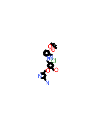 CC1(C)OB(c2cccc3c2cnn3Cc2cc(OCc3cncc(C#N)c3)c(C=O)cc2Cl)OC1(C)C